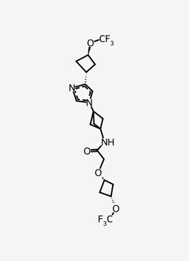 O=C(CO[C@H]1C[C@@H](OC(F)(F)F)C1)NC12CC(n3cnc([C@H]4C[C@H](OC(F)(F)F)C4)c3)(C1)C2